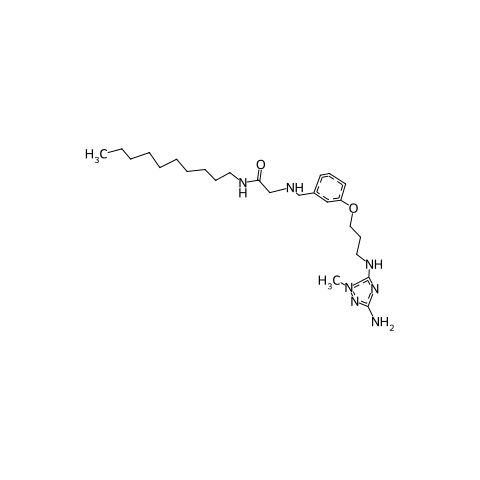 CCCCCCCCCCNC(=O)CNCc1cccc(OCCCNc2nc(N)nn2C)c1